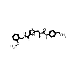 CCc1ccc(NC(=O)NCc2nc(C(=O)NCc3ccccc3OC)cs2)cc1